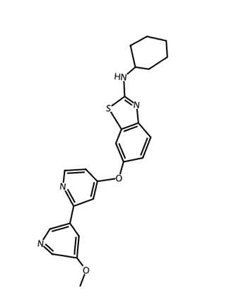 COc1cncc(-c2cc(Oc3ccc4nc(NC5CCCCC5)sc4c3)ccn2)c1